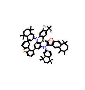 CCC(C)(C)c1cc2c(cc1C(C)C)N(C1=CC3C(C=C1)C(C)(C)CCC3(C)C)c1cc(-c3cccc4sc5c(c34)CCC=C5)cc3c1B2c1oc2cc4c(cc2c1N3c1ccc2c(c1)C(C)(C)CCC2(C)C)C(C)C(C)CCC4(C)C